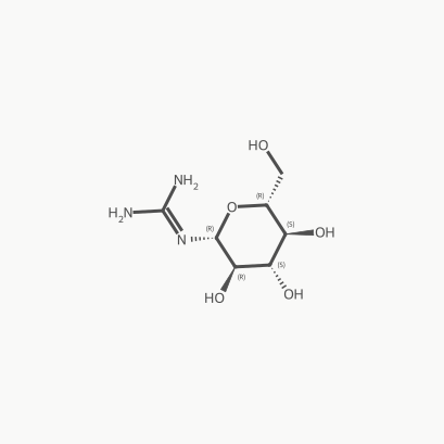 NC(N)=N[C@@H]1O[C@H](CO)[C@@H](O)[C@H](O)[C@H]1O